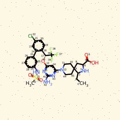 CCC1NC(C(=O)O)CC12CCN(c1cc(O[C@H](c3ccc(Cl)cc3-c3cccc(NS(C)(=O)=O)c3)C(F)(F)F)nc(N)n1)CC2